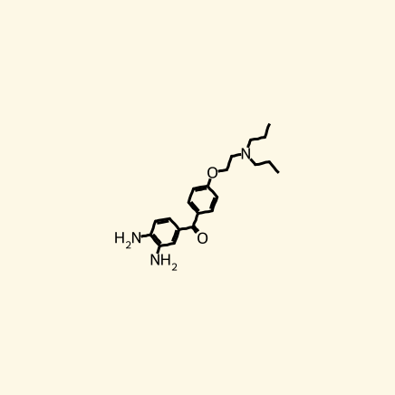 CCCN(CCC)CCOc1ccc(C(=O)c2ccc(N)c(N)c2)cc1